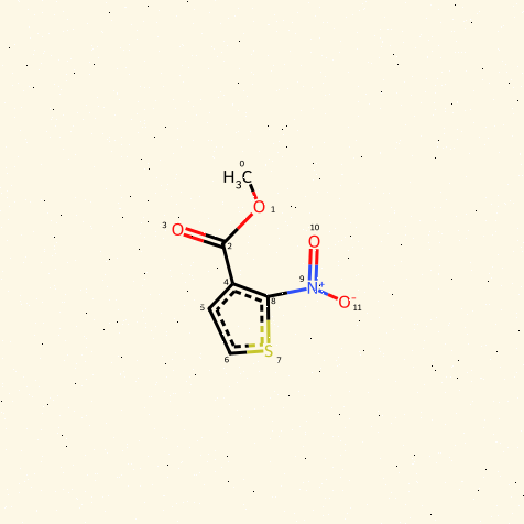 COC(=O)c1ccsc1[N+](=O)[O-]